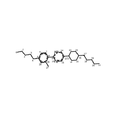 CCCCCc1ccc(-c2ncc(C3CCC(CCCCC)CC3)cn2)c(C)c1